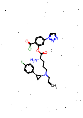 C=CCN(CCC[C@H](N)C(=O)Oc1cc(-n2ccnn2)ccc1C(=O)Cl)[C@@H]1C[C@H]1c1ccc(F)cc1